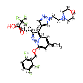 Cc1cc(OCc2c(F)ccc(F)c2F)n2nc(C)c(-c3cnn(CCN4CCOCC4)c3)c2c1.O=C(O)C(F)(F)F